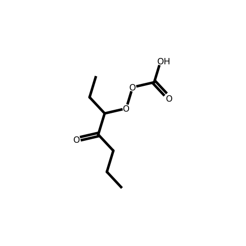 CCCC(=O)C(CC)OOC(=O)O